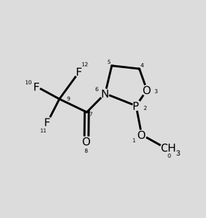 COP1OCCN1C(=O)C(F)(F)F